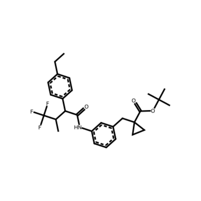 CCc1ccc(C(C(=O)Nc2cccc(CC3(C(=O)OC(C)(C)C)CC3)c2)C(C)C(F)(F)F)cc1